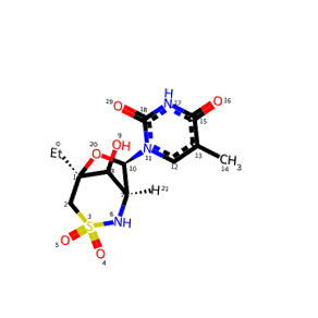 CC[C@@]12CS(=O)(=O)N[C@@H](C1O)[C@H](n1cc(C)c(=O)[nH]c1=O)O2